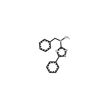 CN(Cc1ccccc1)c1nnc(-c2ccccc2)o1